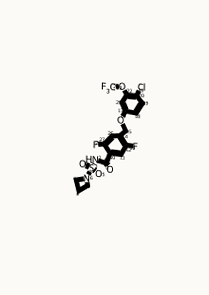 O=C(NS(=O)(=O)N1CCC1)c1cc(F)c(COc2ccc(Cl)c(OC(F)(F)F)c2)cc1F